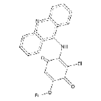 CCOC1=CC(=O)C(Nc2c3ccccc3nc3ccccc23)=C(Cl)C1=O